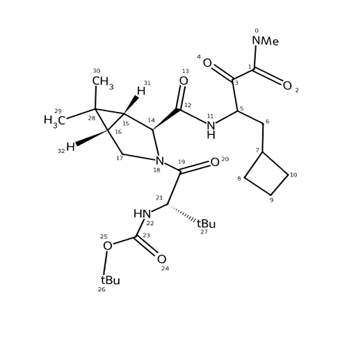 CNC(=O)C(=O)C(CC1CCC1)NC(=O)[C@@H]1[C@@H]2[C@H](CN1C(=O)[C@@H](NC(=O)OC(C)(C)C)C(C)(C)C)C2(C)C